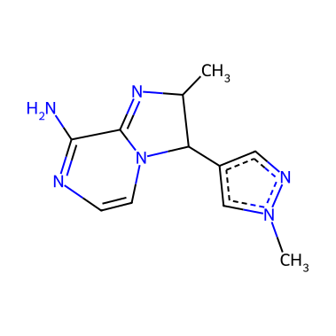 CC1N=C2C(N)=NC=CN2C1c1cnn(C)c1